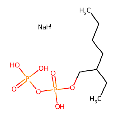 CCCCC(CC)COP(=O)(O)OP(=O)(O)O.[NaH]